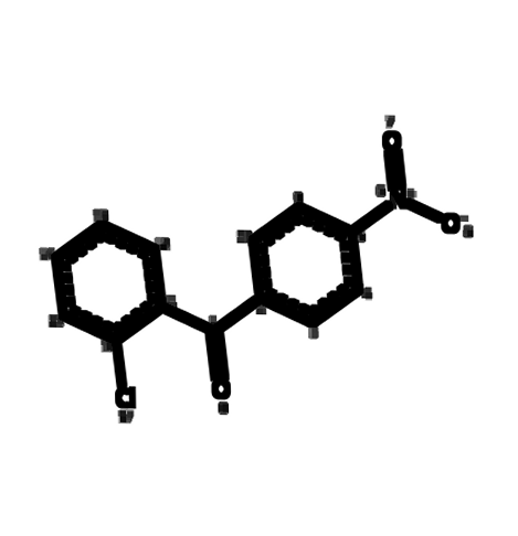 O=C(c1ccc([N+](=O)[O-])cc1)c1ccccc1Cl